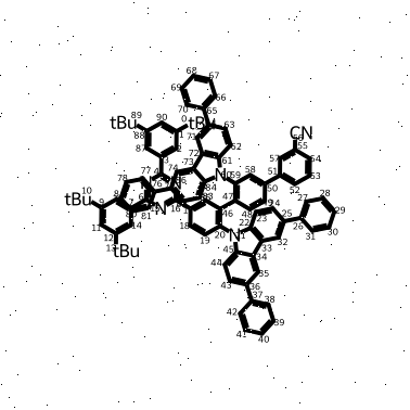 CC(C)(C)c1cc(-c2nc(-c3cc(C(C)(C)C)cc(C(C)(C)C)c3)nc(-c3ccc(-n4c5ccc(-c6ccccc6)cc5c5cc(-c6ccccc6)ccc54)c(-c4ccc(-c5cccc(C#N)c5)cc4-n4c5ccc(-c6ccccc6)cc5c5cc(-c6ccccc6)ccc54)c3)n2)cc(C(C)(C)C)c1